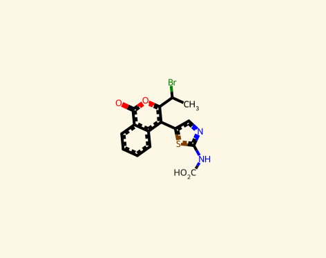 CC(Br)c1oc(=O)c2ccccc2c1-c1cnc(NC(=O)O)s1